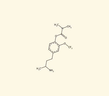 CC(N)CCc1ccc(OC(=O)N(C)C)c(OC(F)(F)F)c1